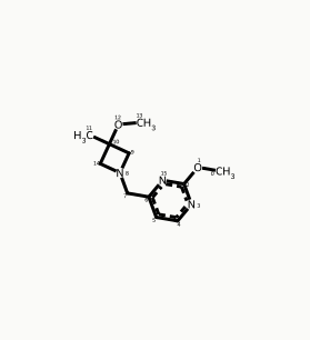 COc1nccc(CN2CC(C)(OC)C2)n1